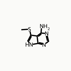 CSc1c[nH]c2ncnc(N)c12